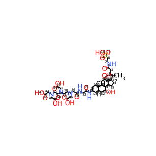 C[C@H](CCC(=O)NCCS(=O)(=O)O)[C@H]1CCC2C3C(C[C@H](O)[C@@]21C)[C@@]1(C)CC[C@H](NC(=O)CNC(=O)CN(CCN(CCN(CC(=O)O)CC(=O)O)CC(=O)O)CC(=O)O)C[C@H]1C[C@H]3O